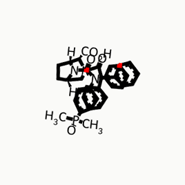 CP(C)(=O)c1ccc(N(C(=O)N2[C@H]3CC[C@@H]2[C@@H](C(=O)O)N(C(=O)C(c2ccccc2)c2ccccc2)C3)c2ccccc2)cc1